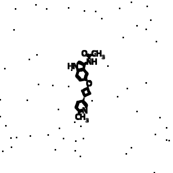 CC(=O)Nc1c[nH]c2ccc(O[C@H]3C[C@@H](c4ccc(C)nc4)C3)cc12